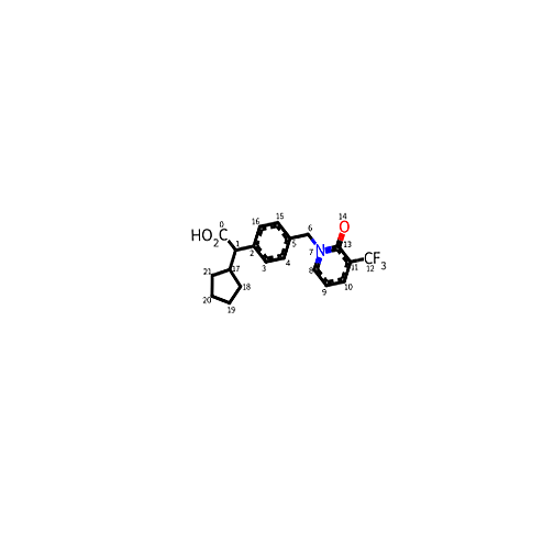 O=C(O)C(c1ccc(Cn2cccc(C(F)(F)F)c2=O)cc1)C1CCCC1